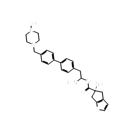 CN1CCN(Cc2ccc(-c3ccc(CC(N)NC(=O)[C@]4(N)Cc5ccsc5C4)cc3)cc2)CC1